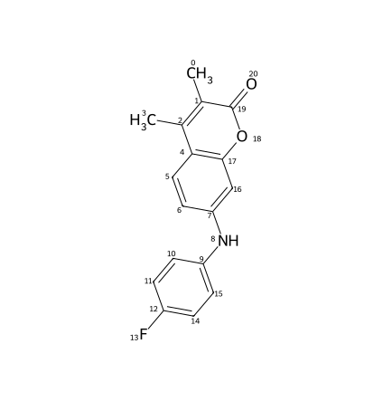 Cc1c(C)c2ccc(Nc3ccc(F)cc3)cc2oc1=O